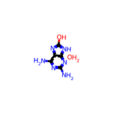 Nc1nc(N)c2nc(O)[nH]c2n1.O